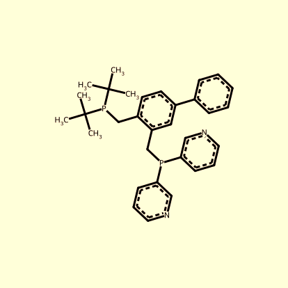 CC(C)(C)P(Cc1ccc(-c2ccccc2)cc1CP(c1cccnc1)c1cccnc1)C(C)(C)C